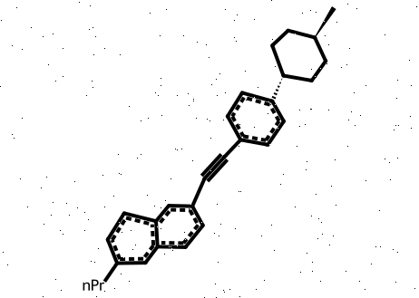 CCCc1ccc2cc(C#Cc3ccc([C@H]4CC[C@H](C)CC4)cc3)ccc2c1